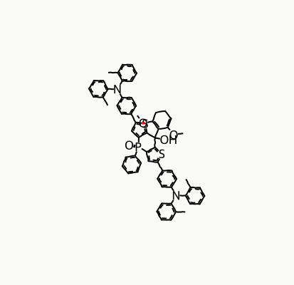 COC1=CCCC(OC)=C1C1(O)c2sc(-c3ccc(N(c4ccccc4C)c4ccccc4C)cc3)cc2P(=O)(c2ccccc2)c2cc(-c3ccc(N(c4ccccc4C)c4ccccc4C)cc3)sc21